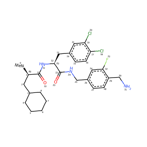 CN[C@H](CC1CCCCC1)C(=O)N[C@@H](Cc1ccc(Cl)c(Cl)c1)C(=O)NCc1ccc(CN)c(F)c1